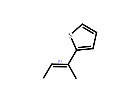 C/C=C(\C)c1cccs1